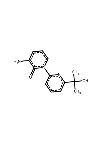 CC(C)(O)c1cccc(-n2cccc(N)c2=O)n1